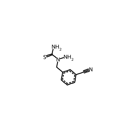 N#Cc1cccc(CN(N)C(N)=S)c1